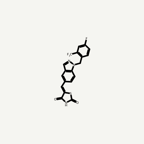 O=C1NC(=O)/C(=C/c2ccc3c(cnn3Cc3ccc(F)cc3C(F)(F)F)c2)S1